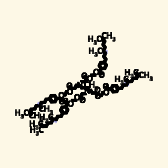 CC(C)=CCC/C(C)=C/CCC1=CCC(C(=O)OCCOC(=O)CCN(CCC(=O)OCCOC(=O)C2CC=C(CC/C=C(\C)CCC=C(C)C)CC2)CC(C)N(CCC(=O)OCCOC(=O)C2CC=C(CC/C=C(\C)CCC=C(C)C)CC2)CCC(=O)OCCOC(=O)C2CC=C(CC/C=C(\C)CCC=C(C)C)CC2)CC1